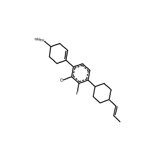 C/C=C/C1CCC(c2ccc(C3=CCC(CCCCCC)CC3)c(Cl)c2F)CC1